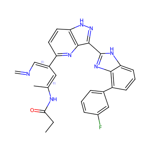 C=N/C=C(\C=C(/C)NC(=O)CC)c1ccc2[nH]nc(-c3nc4c(-c5cccc(F)c5)cccc4[nH]3)c2n1